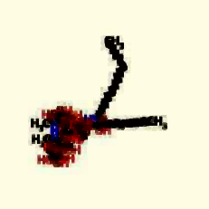 CCCCCCCC/C=C\CCCCCCCCCCCCCCCC(=O)N[C@@H](CO[C@@H]1OC(CO)[C@@H](O[C@@H]2OC(CO)[C@H](O[C@@H]3OC(CO)[C@H](O)[C@H](O)C3NC(C)=O)[C@H](O[C@@H]3OC(CO)[C@@H](O[C@@H]4OC(CO)[C@H](O)[C@H](O)C4O)[C@H](O)C3NC(C)=O)C2O)[C@H](O)C1O)[C@H](O)/C=C/CCCCCCCCCCCCC